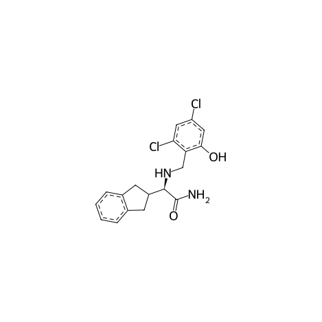 NC(=O)[C@H](NCc1c(O)cc(Cl)cc1Cl)C1Cc2ccccc2C1